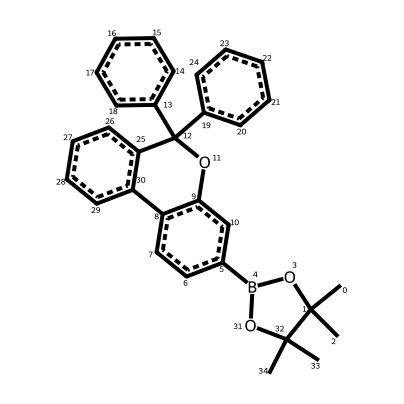 CC1(C)OB(c2ccc3c(c2)OC(c2ccccc2)(c2ccccc2)c2ccccc2-3)OC1(C)C